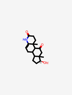 CC12CCC(=O)NC1=CCC1C2C(=O)CC2(C)C1CC[C@@H]2O